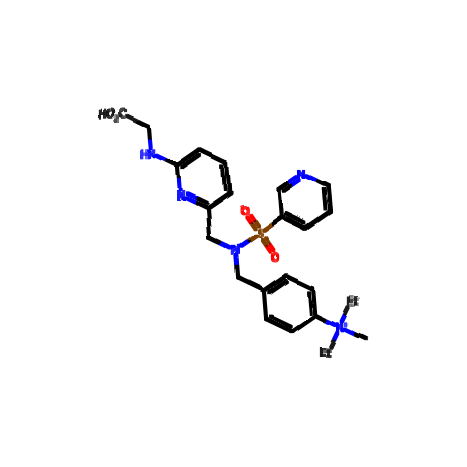 CC[N+](C)(CC)c1ccc(CN(Cc2cccc(NCC(=O)O)n2)S(=O)(=O)c2cccnc2)cc1